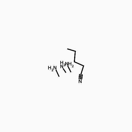 CCCCC#N.CN.CN.CN